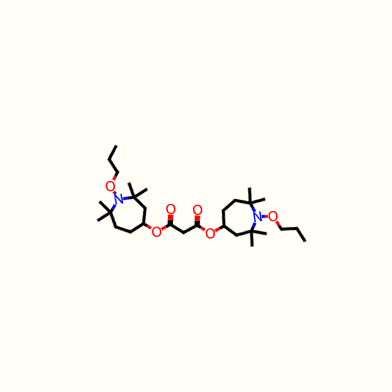 CCCON1C(C)(C)CCC(OC(=O)CC(=O)OC2CCC(C)(C)N(OCCC)C(C)(C)C2)CC1(C)C